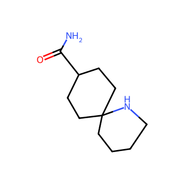 NC(=O)C1CCC2(CCCCN2)CC1